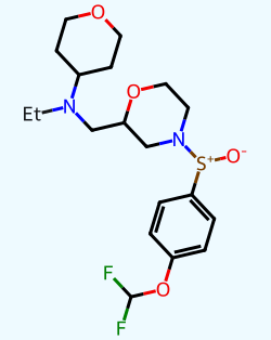 CCN(CC1CN([S+]([O-])c2ccc(OC(F)F)cc2)CCO1)C1CCOCC1